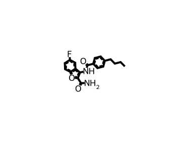 CCCCc1ccc(C(=O)Nc2c(C(N)=O)oc3ccc(F)cc23)cc1